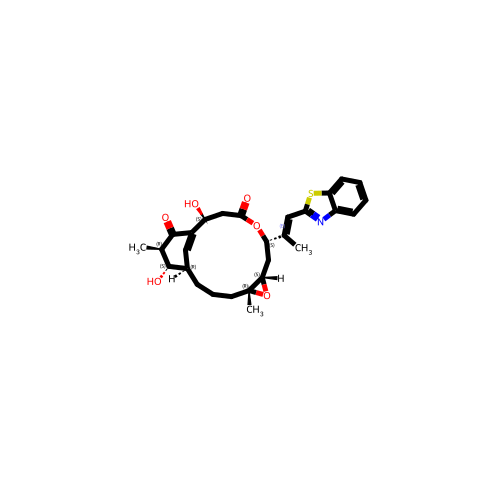 C/C(=C\c1nc2ccccc2s1)[C@@H]1C[C@@H]2O[C@]2(C)CCC[C@@H]2C=C(C(=O)[C@H](C)[C@H]2O)[C@@H](O)CC(=O)O1